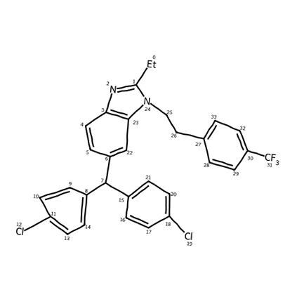 CCc1nc2ccc(C(c3ccc(Cl)cc3)c3ccc(Cl)cc3)cc2n1CCc1ccc(C(F)(F)F)cc1